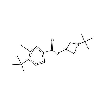 Cc1cc(C(=O)OC2CN(C(C)(C)C)C2)ccc1C(C)(C)C